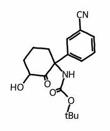 CC(C)(C)OC(=O)NC1(c2cccc(C#N)c2)CCCC(O)C1=O